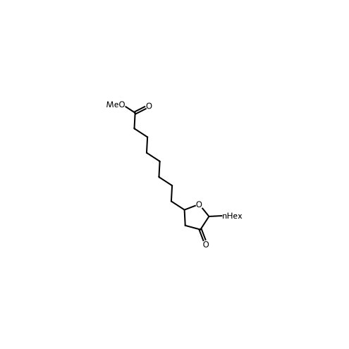 CCCCCCC1OC(CCCCCCCC(=O)OC)CC1=O